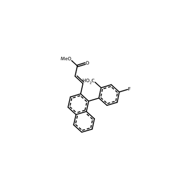 COC(=O)/C=C/c1ccc2ccccc2c1-c1ccc(F)cc1C(=O)O